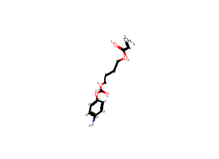 C=CC(=O)OCCCCOC(=O)Oc1ccc(I)cc1